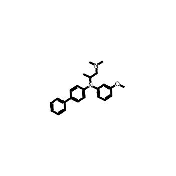 COc1cccc(N(c2ccc(-c3ccccc3)cc2)C(C)CN(C)C)c1